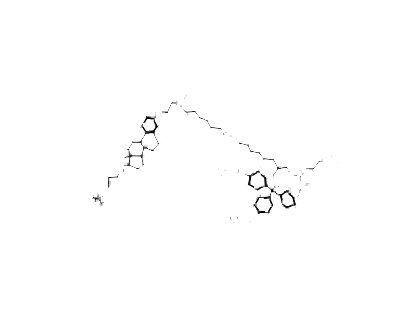 CCN(C(C)C)P(OCCC#N)OCC(CCCCCCSSCCCCCCN(C)CCOc1ccc2c(c1)CCC1C2CCC2(C)C(OCCCOC(C(F)(F)F)(C(F)(F)F)C(F)(F)F)CCC12)COC(c1ccccc1)(c1ccc(OC)cc1)c1ccc(OC)cc1